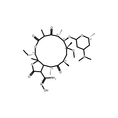 CC[C@@H]1OC(=O)C(C)C(=O)[C@H](C)[C@@H](OC2CC(N(C)C)C[C@@H](C)O2)[C@](C)(OC)C[C@@H](C)C(=O)[C@H](C)C2C(/C(N)=N/O)C(=O)OC21C